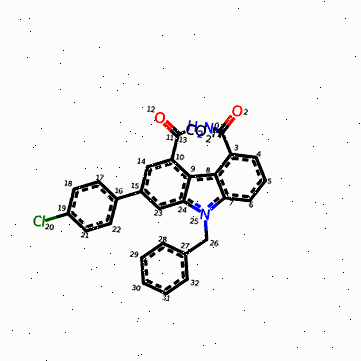 NC(=O)c1cccc2c1c1c(C(=O)C(=O)O)cc(-c3ccc(Cl)cc3)cc1n2Cc1ccccc1